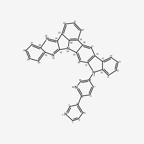 c1cncc(-c2ccc(-n3c4ccccc4c4cc5c6cccc7c8nc9ccccc9nc8n(c5cc43)c67)cn2)c1